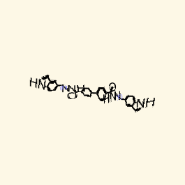 O=C(N/N=C/c1ccc2[nH]ccc2c1)c1ccc(-c2ccc(C(=O)N/N=C/c3ccc4[nH]ccc4c3)cc2)cc1